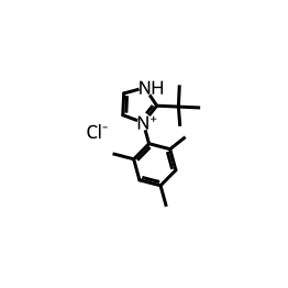 Cc1cc(C)c(-[n+]2cc[nH]c2C(C)(C)C)c(C)c1.[Cl-]